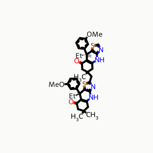 CC[C@@]1(c2cccc(OC)c2)C2=C(CC(C)(Cc3nc4c(s3)[C@@](CC)(c3cccc(OC)c3)C3=C(CC(C)(C)CC3=O)N4)CC2=O)Nc2ncsc21